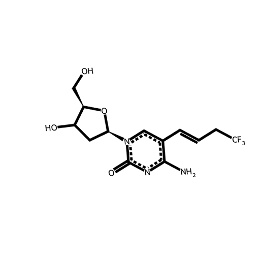 Nc1nc(=O)n([C@H]2CC(O)[C@@H](CO)O2)cc1C=CCC(F)(F)F